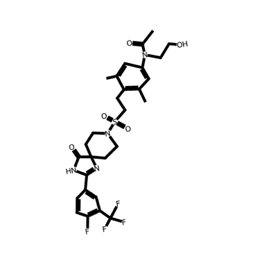 CC(=O)N(CCO)c1cc(C)c(CCS(=O)(=O)N2CCC3(CC2)N=C(c2ccc(F)c(C(F)(F)F)c2)NC3=O)c(C)c1